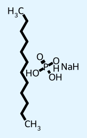 CCCCCCCCCCCC.O=P(O)(O)O.[NaH]